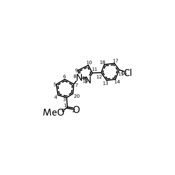 COC(=O)c1cccc(-n2ccc(-c3ccc(Cl)cc3)n2)c1